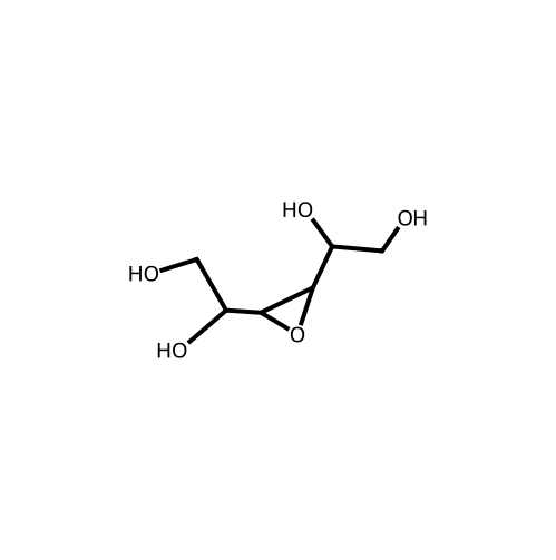 OCC(O)C1OC1C(O)CO